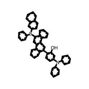 Oc1cc(N(c2ccccc2)c2ccccc2)ccc1-c1cc2c3ccccc3c(B(c3ccccc3)c3ccc4ccccc4c3)cc2c2ccccc12